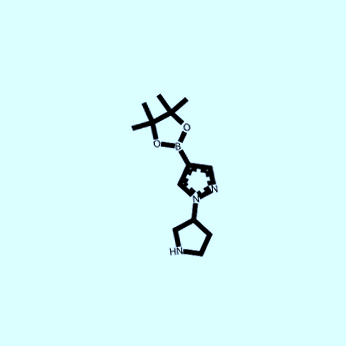 CC1(C)OB(c2cnn(C3CCNC3)c2)OC1(C)C